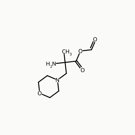 CC(N)(CN1CCOCC1)C(=O)OC=O